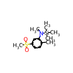 Cc1ccc(S(C)(=O)=O)cc1N(C)[Si](C)(C)C